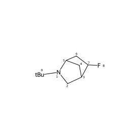 CC(C)(C)N1CC2CC1CC2F